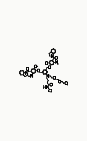 C=Nc1cc(OCc2cc(COc3cc4c(cc3OC)C(=O)N3c5ccccc5CC3C=N4)cc(N(CCCC(=O)NC3CCC3)CCOCCOCCOC)c2)c(OC)cc1C(=O)N1CCc2ccccc21